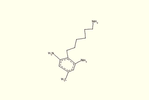 Cc1cc(N)c(CCCCCCN)c(N)c1